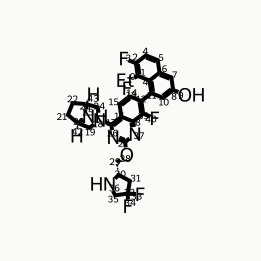 CCc1c(F)ccc2cc(O)cc(-c3c(F)cc4c(N5C[C@H]6CC[C@@H](C5)N6)nc(OC[C@@H]5CC(F)(F)CN5)nc4c3F)c12